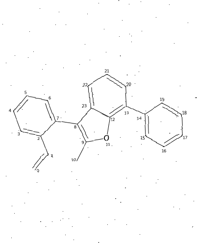 C=Cc1ccccc1-c1c(C)oc2c(-c3ccccc3)cccc12